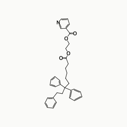 O=C(CCCCCC(CCc1ccccc1)(c1ccccc1)c1ccccc1)OCCOC(=O)c1cccnc1